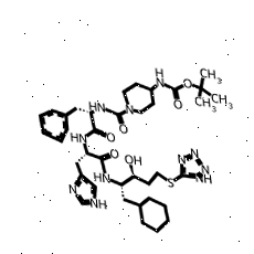 CC(C)(C)OC(=O)NC1CCN(C(=O)N[C@@H](Cc2ccccc2)C(=O)N[C@@H](Cc2c[nH]cn2)C(=O)N[C@@H](CC2CCCCC2)[C@@H](O)CCSc2nnn[nH]2)CC1